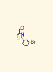 O=Cc1csc(-c2cccc(Br)c2)n1